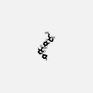 N=C/C=C1\NC=CC=C1Oc1ccc(NC(=O)c2c(I)ccn(-c3ccc(F)cc3)c2=O)cc1F